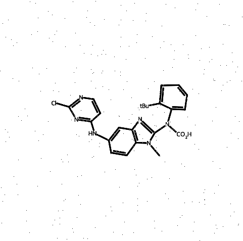 Cn1c(N(C(=O)O)c2ccccc2C(C)(C)C)nc2cc(Nc3ccnc(Cl)n3)ccc21